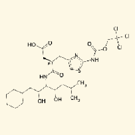 CC(C)CC(O)C(NC(=O)[C@@H](CC(=O)O)Cc1csc(NC(=O)OCC(Cl)(Cl)Cl)n1)C(O)CC1CCCCC1